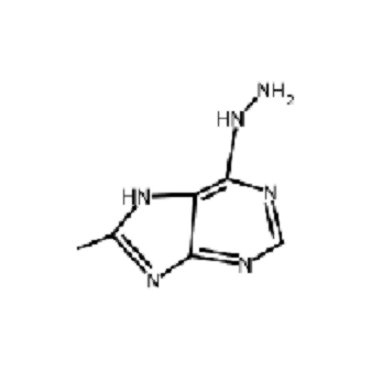 Cc1nc2ncnc(NN)c2[nH]1